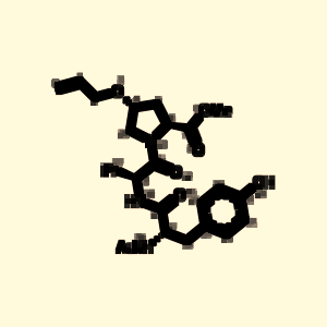 C=CCO[C@@H]1C[C@@H](C(=O)OC)N(C(=O)[C@@H](NC(=O)[C@H](Cc2ccc(O)cc2)NC(C)=O)C(C)C)C1